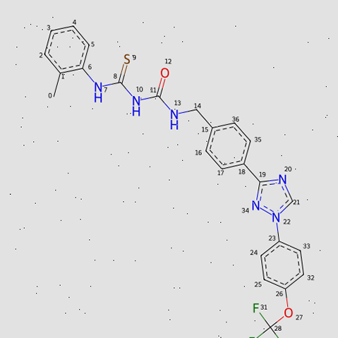 Cc1ccccc1NC(=S)NC(=O)NCc1ccc(-c2ncn(-c3ccc(OC(F)(F)F)cc3)n2)cc1